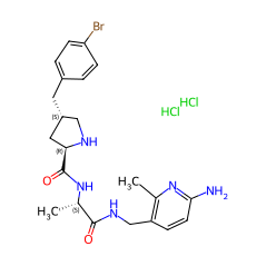 Cc1nc(N)ccc1CNC(=O)[C@H](C)NC(=O)[C@H]1C[C@H](Cc2ccc(Br)cc2)CN1.Cl.Cl